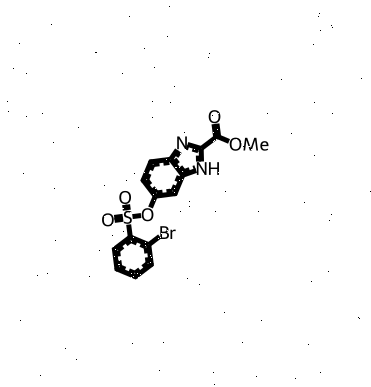 COC(=O)c1nc2ccc(OS(=O)(=O)c3ccccc3Br)cc2[nH]1